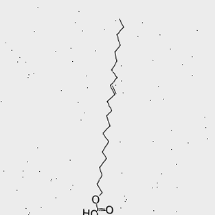 CCCCCCCCC=CCCCCCCCCCCCCOC(=O)O